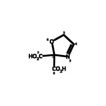 O=C(O)C1(C(=O)O)N=CCO1